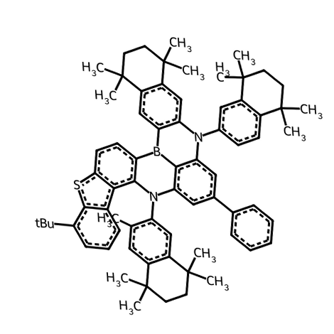 Cc1cc2c(cc1N1c3cc(-c4ccccc4)cc4c3B(c3cc5c(cc3N4c3ccc4c(c3)C(C)(C)CCC4(C)C)C(C)(C)CCC5(C)C)c3ccc4sc5c(C(C)(C)C)cccc5c4c31)C(C)(C)CCC2(C)C